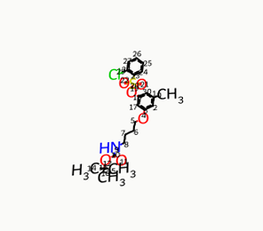 Cc1cc(OCCCCNC(=O)OC(C)(C)C)cc(OS(=O)(=O)c2ccccc2Cl)c1